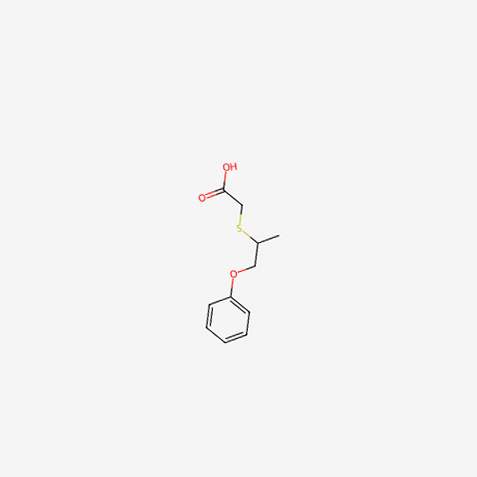 CC(COc1ccccc1)SCC(=O)O